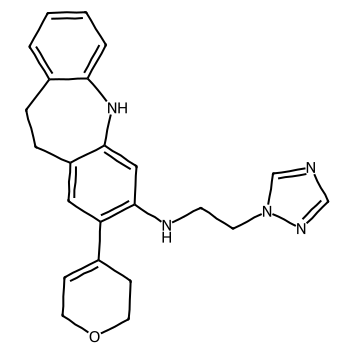 C1=C(c2cc3c(cc2NCCn2cncn2)Nc2ccccc2CC3)CCOC1